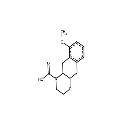 COc1cccc2c1CC1C(C2)OCCN1C(=O)O